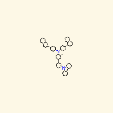 Cc1cc(-c2cccc(-n3c4ccccc4c4ccccc43)c2)ccc1N(c1ccc(-c2ccc3ccccc3c2)cc1)c1ccc(-c2cccc3ccccc23)cc1